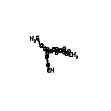 C#Cc1ccc(C#Cc2ccc(C#CC3(OC(=O)c4ccc5cc(OC(=O)C6CCC(C(=O)OCOC(=O)C=C)CC6)ccc5c4)CCC(C4CCC(CCCCC)CC4)CC3)cc2)cc1